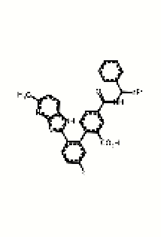 CCCC(NC(=O)c1ccc(-c2cc(Cl)ccc2-c2nc3nc(C)ccc3[nH]2)c(C(=O)O)c1)c1ccccc1